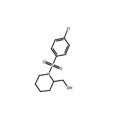 O=S(=O)(c1ccc(Cl)cc1)N1CCCCC1CO